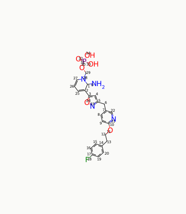 NC1C(c2cc(Cc3ccc(OCCc4ccc(F)cc4)nc3)no2)=CC=CN1COP(=O)(O)O